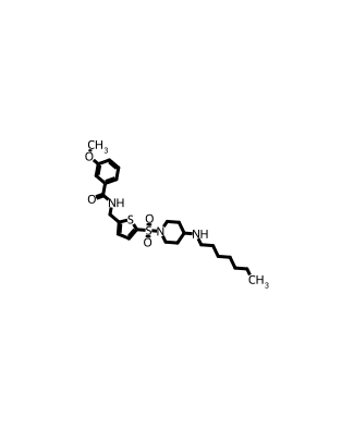 CCCCCCCNC1CCN(S(=O)(=O)c2ccc(CNC(=O)c3cccc(OC)c3)s2)CC1